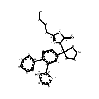 CCCCC1=NC(C2(c3ccc(-c4ccccc4)c(-c4nnn[nH]4)c3)CCCC2)C(=O)N1